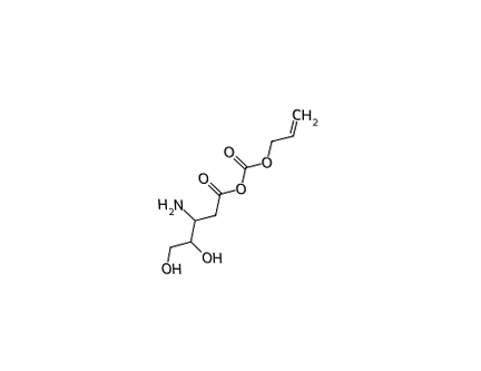 C=CCOC(=O)OC(=O)CC(N)C(O)CO